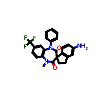 CN1C(=O)C2(CCc3cc(N)ccc32)C(=O)N(c2ccccc2)c2cc(C(F)(F)F)ccc21